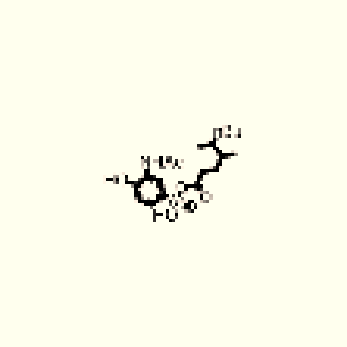 CCCCC(C)C(C)CCC(=O)O[As](=O)(O)c1ccc(O)c(NC(C)=O)c1